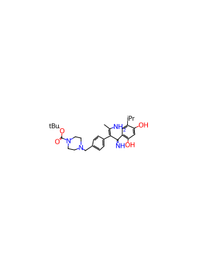 C/C(N)=C(/C(=N)c1cc(C(C)C)c(O)cc1O)c1ccc(CN2CCN(C(=O)OC(C)(C)C)CC2)cc1